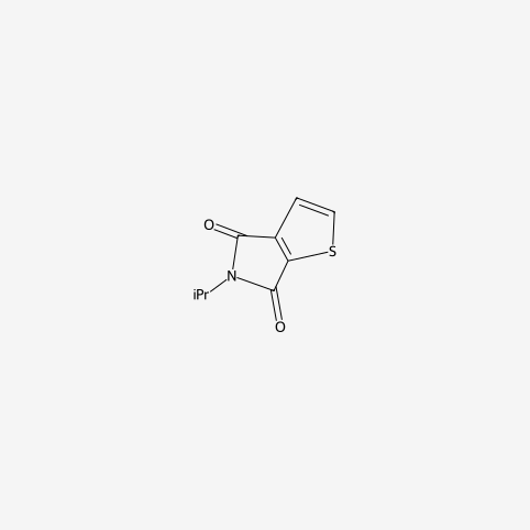 CC(C)N1C(=O)c2ccsc2C1=O